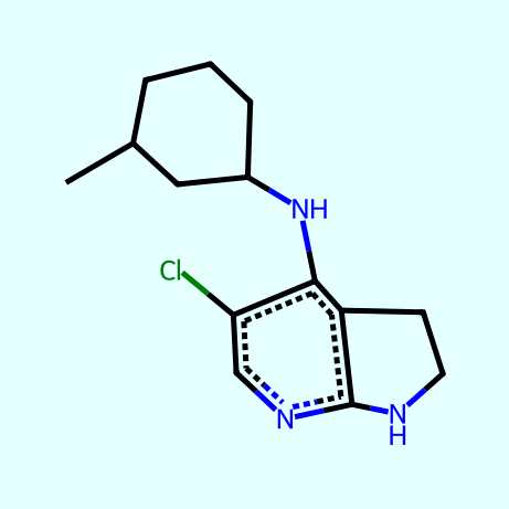 CC1CCCC(Nc2c(Cl)cnc3c2CCN3)C1